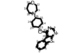 c1ccc2c(c1)sc1ncnc(O[C@H]3CC[C@H](N4CCCOCC4)CC3)c12